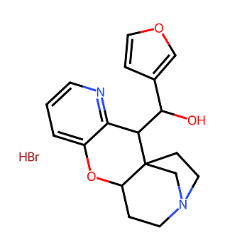 Br.OC(c1ccoc1)C1c2ncccc2OC2CCN3CCC21C3